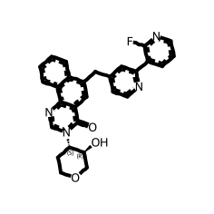 O=c1c2cc(Cc3ccnc(-c4cccnc4F)c3)c3ccccc3c2ncn1[C@H]1CCOC[C@@H]1O